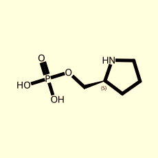 O=P(O)(O)OC[C@@H]1CCCN1